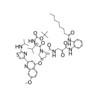 CCCCCCCC(=O)Nc1ccccc1NC(=O)C(=O)CNC(=O)[C@@H]1C[C@H](Oc2cc(-c3csc(NC(C)C)n3)nc3cc(OC)ccc23)CN1C(=O)[C@H](NC(=O)OC(C)(C)C)C(C)C